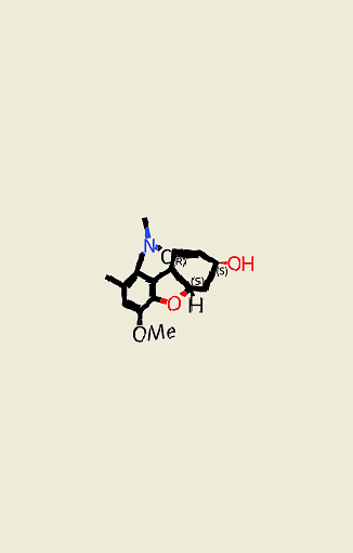 COc1cc(C)c2c3c1O[C@H]1C[C@H](O)C=C[C@]31CCN(C)C2